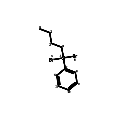 CCCC[Si](Br)(Br)c1ccccc1